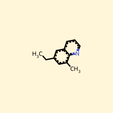 CCc1cc(C)c2ncccc2c1